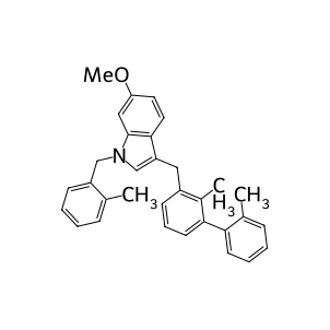 COc1ccc2c(Cc3cccc(-c4ccccc4C)c3C)cn(Cc3ccccc3C)c2c1